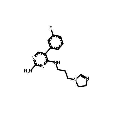 Nc1ncc(-c2cccc(F)c2)c(NCCCN2C=NCC2)n1